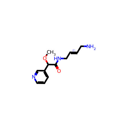 COC(C(=O)NC/C=C/CN)c1cccnc1